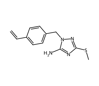 C=Cc1ccc(Cn2nc(SC)nc2N)cc1